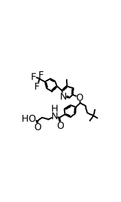 Cc1cc(OC(CCC(C)(C)C)c2ccc(C(=O)NCCC(=O)O)cc2)cnc1-c1ccc(C(F)(F)F)cc1